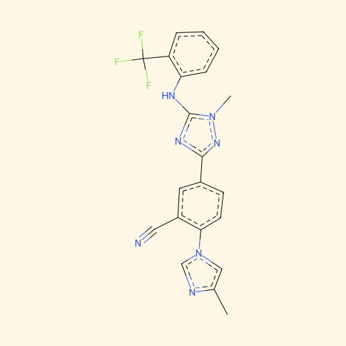 Cc1cn(-c2ccc(-c3nc(Nc4ccccc4C(F)(F)F)n(C)n3)cc2C#N)cn1